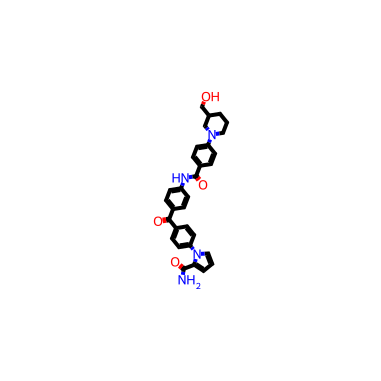 NC(=O)c1cccn1-c1ccc(C(=O)c2ccc(NC(=O)c3ccc(N4CCCC(CO)C4)cc3)cc2)cc1